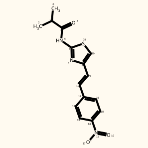 CC(C)C(=O)Nc1nc(/C=C/c2ccc([N+](=O)[O-])cc2)cs1